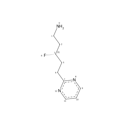 NCC[C@@H](F)CCc1ncccn1